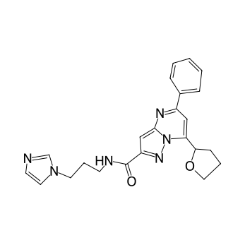 O=C(NCCCn1ccnc1)c1cc2nc(-c3ccccc3)cc(C3CCCO3)n2n1